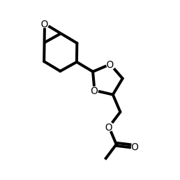 CC(=O)OCC1COC(C2CCC3OC3C2)O1